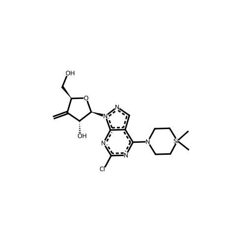 C=C1[C@@H](O)[C@H](n2ncc3c(N4CC[Si](C)(C)CC4)nc(Cl)nc32)O[C@@H]1CO